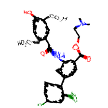 CN(C)CCOC(=O)c1ccc(-c2ccc(Cl)cc2Cl)cc1NC(=O)c1cc(C(=O)O)c(O)cc1C(=O)O